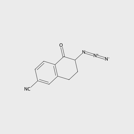 N#Cc1ccc2c(c1)CCC(N=[N+]=[N-])C2=O